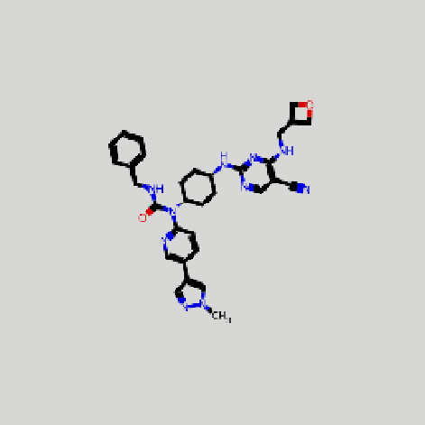 Cn1cc(-c2ccc(N(C(=O)NCc3ccccc3)[C@H]3CC[C@H](Nc4ncc(C#N)c(NCC5COC5)n4)CC3)nc2)cn1